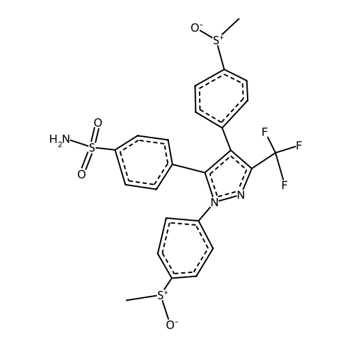 C[S+]([O-])c1ccc(-c2c(C(F)(F)F)nn(-c3ccc([S+](C)[O-])cc3)c2-c2ccc(S(N)(=O)=O)cc2)cc1